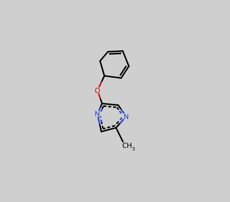 Cc1cnc(OC2C=CC=CC2)cn1